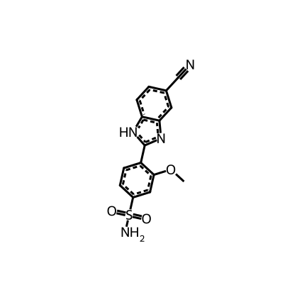 COc1cc(S(N)(=O)=O)ccc1-c1nc2cc(C#N)ccc2[nH]1